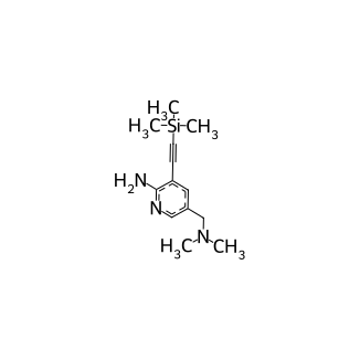 CN(C)Cc1cnc(N)c(C#C[Si](C)(C)C)c1